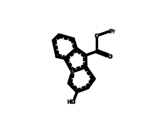 CC(C)OC(=O)c1c2ccccc2n2cc(O)ccc12